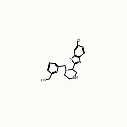 OCc1cccc(CN2CCNCC2c2nc3ccc(Cl)cc3s2)c1